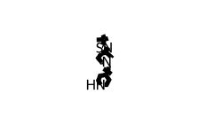 CC(C)(C)c1nc2c(s1)CCN(CC(C)(C)C1CCNCC1)C2